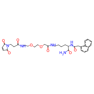 NC(=O)C(CCCCNC(=O)COCCOCCNC(=O)CCN1C(=O)C=CC1=O)NC(=O)Cc1cccc2ccccc12